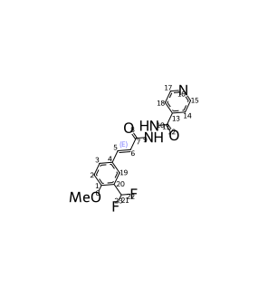 COc1ccc(/C=C/C(=O)NNC(=O)c2ccncc2)cc1C(F)F